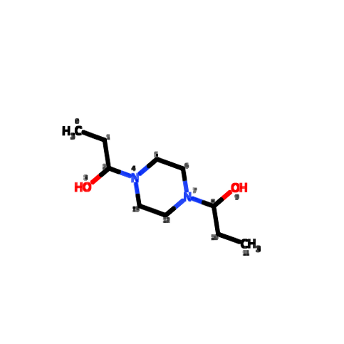 CCC(O)N1CCN(C(O)CC)CC1